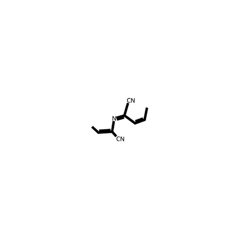 C\C=C/C(C#N)=N\C(C#N)=C/C